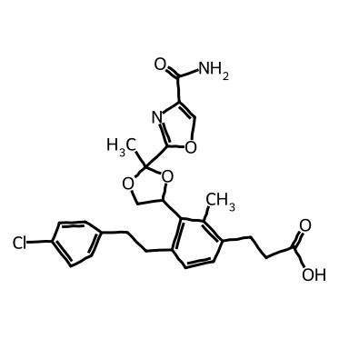 Cc1c(CCC(=O)O)ccc(CCc2ccc(Cl)cc2)c1C1COC(C)(c2nc(C(N)=O)co2)O1